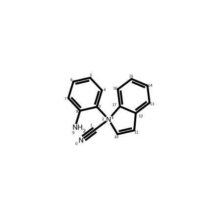 N#C[N+]1(c2ccccc2N)C=Cc2ccccc21